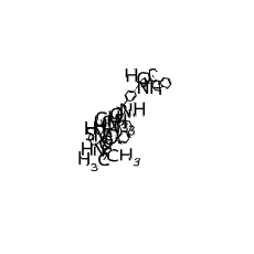 CC(C)C(=S)N[C@H]1CCS[C@H]2CC(C)(C)[C@@H](C(=O)N[C@@H]3c4ccccc4CC[C@H]3C(=O)NCc3ccc(CNC(=O)[C@@H]4CCc5ccccc5[C@@H]4C)cc3)N2C1=O